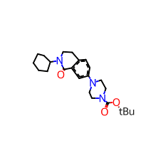 CC(C)(C)OC(=O)N1CCN(c2ccc3c(c2)C(=O)N(C2CCCCC2)CC3)CC1